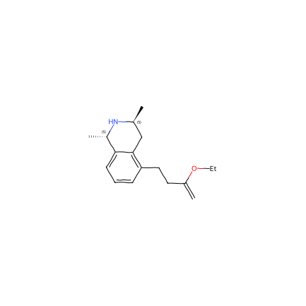 C=C(CCc1cccc2c1C[C@H](C)N[C@H]2C)OCC